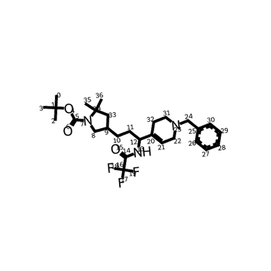 CC(C)(C)OC(=O)N1CC(CCC(NC(=O)C(F)(F)F)C2=CCN(Cc3ccccc3)CC2)CC1(C)C